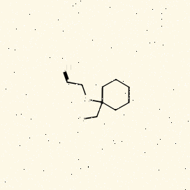 C=CCNC1(CN)CCCCC1